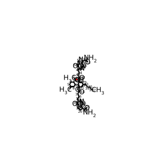 C=C(C)[C@@H]1CCC(C)=C[C@H]1c1c(OC(=O)CCCn2nnc3c(C(N)=O)ccn3c2=O)cc(CCCCC)cc1OC(=O)CCCn1nnc2c(C(N)=O)ncn2c1=O